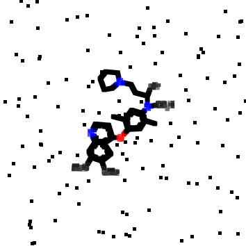 CCCC(CCN1CCCCC1)N(C(=O)O)c1cc(C)c(Oc2ccnc3cc(OC)c(OC)cc23)cc1C